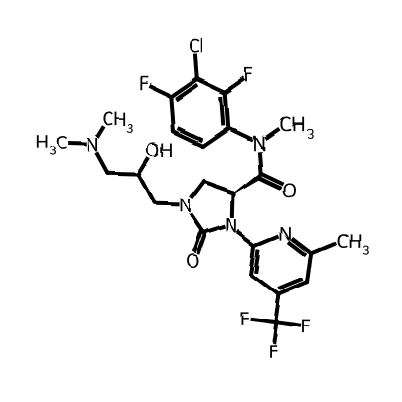 Cc1cc(C(F)(F)F)cc(N2C(=O)N(CC(O)CN(C)C)C[C@H]2C(=O)N(C)c2ccc(F)c(Cl)c2F)n1